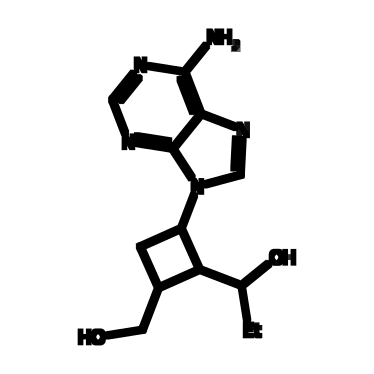 CCC(O)C1C(CO)CC1n1cnc2c(N)ncnc21